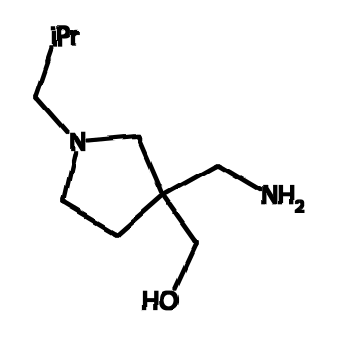 CC(C)CN1CCC(CN)(CO)C1